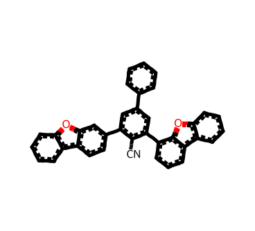 N#Cc1c(-c2ccc3c(c2)oc2ccccc23)cc(-c2ccccc2)cc1-c1cccc2c1oc1ccccc12